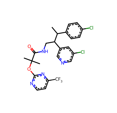 CC(c1ccc(Cl)cc1)C(CNC(=O)C(C)(C)Oc1nccc(C(F)(F)F)n1)c1cncc(Cl)c1